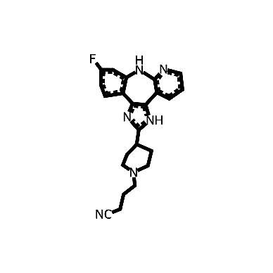 N#CCCCN1CCC(c2nc3c([nH]2)-c2cccnc2Nc2cc(F)ccc2-3)CC1